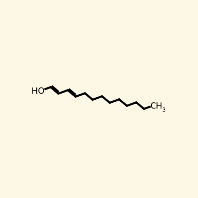 CCCCCCCCCC=CC=CO